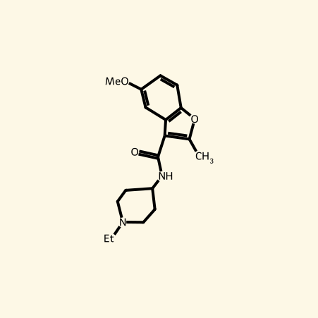 CCN1CCC(NC(=O)c2c(C)oc3ccc(OC)cc23)CC1